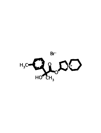 Cc1cccc(C(C)(O)C(=O)OC2CC[N+]3(CCCCC3)C2)c1.[Br-]